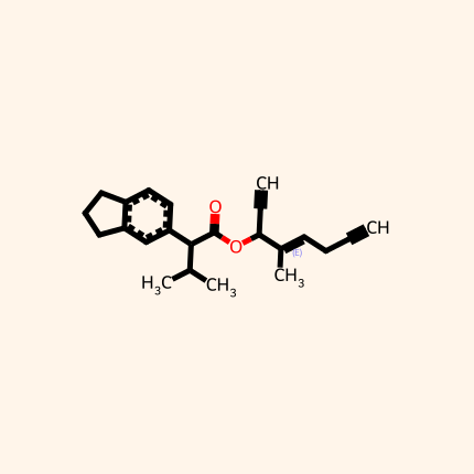 C#CC/C=C(\C)C(C#C)OC(=O)C(c1ccc2c(c1)CCC2)C(C)C